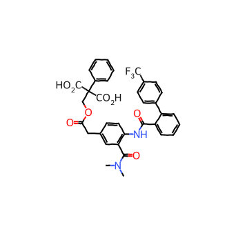 CN(C)C(=O)c1cc(CC(=O)OCC(C(=O)O)(C(=O)O)c2ccccc2)ccc1NC(=O)c1ccccc1-c1ccc(C(F)(F)F)cc1